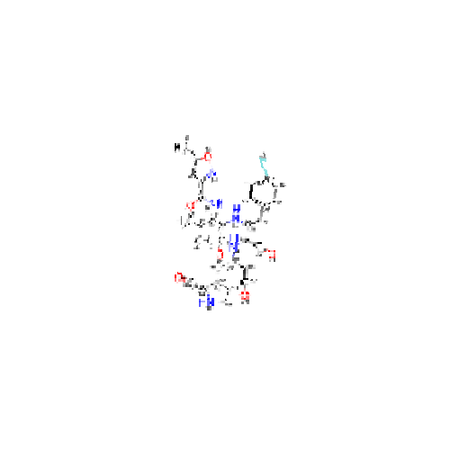 Cc1cc(C(=O)N[C@H](C(=C=O)N[C@@H](Cc2ccc(F)cc2)C(=C=O)N[C@H](C=C=O)C[C@@H]2CCNC2=C=O)C(C)C)no1